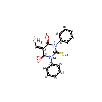 CC=C1C(=O)N(c2ccccc2)C(=S)N(c2ccccc2)C1=O